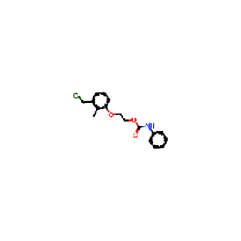 Cc1c(CCl)cccc1OCCOC(=O)Nc1ccccc1